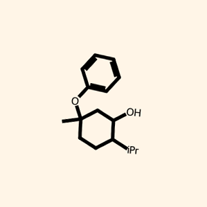 CC(C)C1CCC(C)(Oc2ccccc2)CC1O